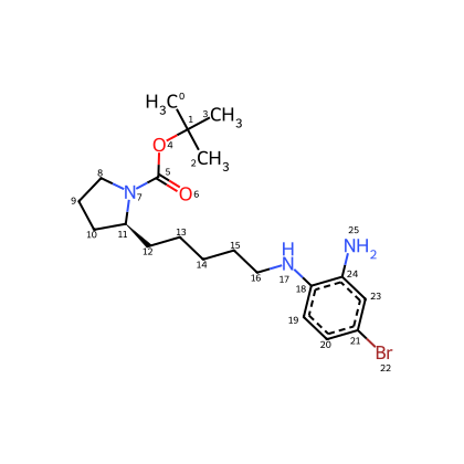 CC(C)(C)OC(=O)N1CCC[C@@H]1CCCCCNc1ccc(Br)cc1N